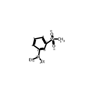 CCN(CC)c1cccc(S(C)(=O)=O)c1